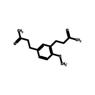 [CH2]Oc1ccc(CCC(C)=O)cc1CCC(C)=O